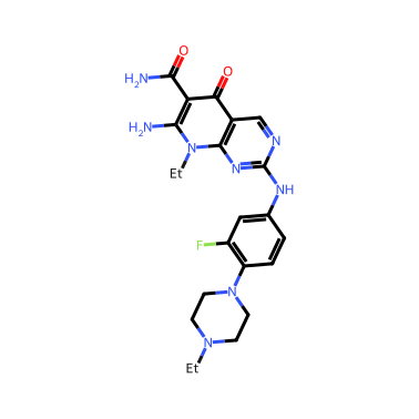 CCN1CCN(c2ccc(Nc3ncc4c(=O)c(C(N)=O)c(N)n(CC)c4n3)cc2F)CC1